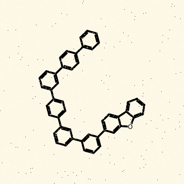 c1ccc(-c2ccc(-c3cccc(-c4ccc(-c5cccc(-c6cccc(-c7ccc8c(c7)oc7ccccc78)c6)c5)cc4)c3)cc2)cc1